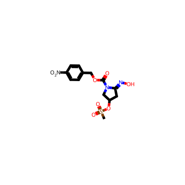 CS(=O)(=O)OC1CC(=NO)N(C(=O)OCc2ccc([N+](=O)[O-])cc2)C1